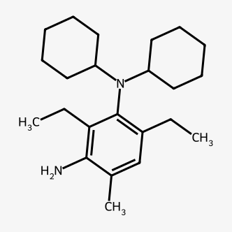 CCc1cc(C)c(N)c(CC)c1N(C1CCCCC1)C1CCCCC1